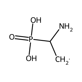 [CH2]C(N)P(=O)(O)O